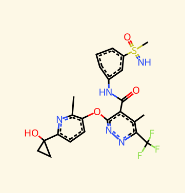 Cc1nc(C2(O)CC2)ccc1Oc1nnc(C(F)(F)F)c(C)c1C(=O)Nc1cccc(S(C)(=N)=O)c1